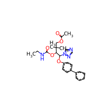 CCNC(=O)OC(C(Oc1ccc(-c2ccccc2)cc1)n1cncn1)C(C)(C)COC(C)=O